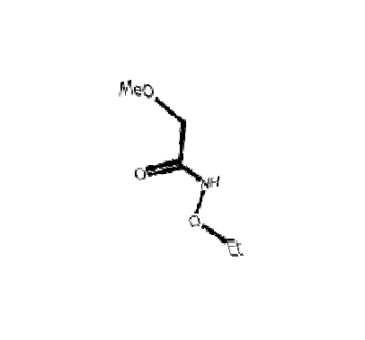 CCONC(=O)COC